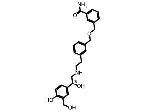 NC(=O)c1cccc(COCc2cccc(CCNC[C@@H](O)c3ccc(O)c(CO)c3)c2)c1